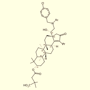 CC(=O)N(Cc1ccc(Cl)cc1)C[C@@H](O)[C@@]12CC[C@]3(C)[C@H](CC[C@@H]4[C@@]5(C)CC[C@H](OC(=O)CC(C)(C)C(=O)O)C(C)(C)C5CC[C@]43C)C1=C(C(C)C)C(=O)C2